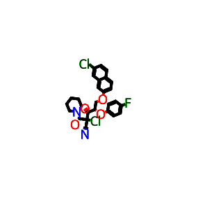 N#CC(Cl)(C(=O)C(COc1ccc2ccc(Cl)cc2c1)Oc1ccc(F)cc1)C(=O)N1CCCCC1